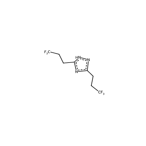 FC(F)(F)CCc1n[nH]c(CCC(F)(F)F)n1